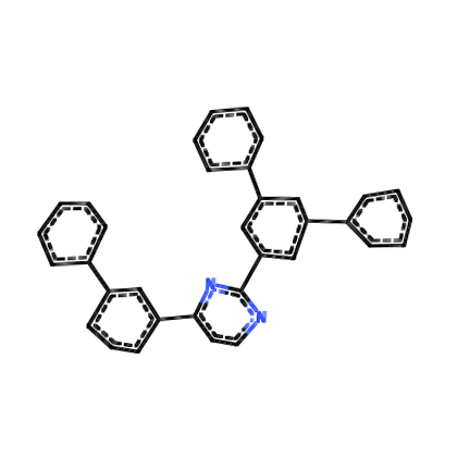 c1ccc(-c2cccc(-c3ccnc(-c4cc(-c5ccccc5)cc(-c5ccccc5)c4)n3)c2)cc1